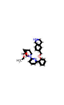 CCOC(=O)[C@@]12CCN(c3cccc(-c4ccccc4OCc4ccc5c(c4)CCNC5)n3)C[C@@H]1C2